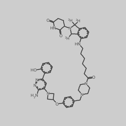 [2H]C1c2c(NCCCCCCC(=O)N3CCN(Cc4ccc(OC5CN(c6cc(-c7ccccc7O)nnc6N)C5)cc4)CC3)cccc2C([2H])([2H])N1C1CCC(=O)NC1=O